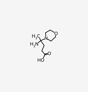 CC(N)(CCC(=O)O)N1CCOCC1